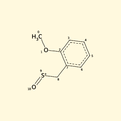 COc1ccccc1C[S+]=O